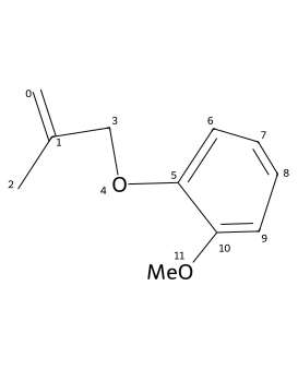 C=C(C)COc1ccccc1OC